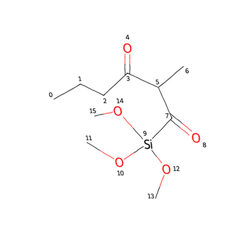 CCCC(=O)C(C)C(=O)[Si](OC)(OC)OC